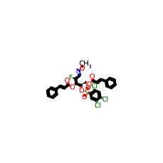 CON=C[C@H](F)[C@H](OC(=O)C=Cc1ccccc1)[C@H](COC(=O)C=Cc1ccccc1)OS(=O)(=O)c1cc(Cl)c(Cl)cc1Cl